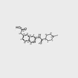 CN1CCC(C(=O)Nc2cc3cc(CC(=O)O)ccc3cn2)CC1